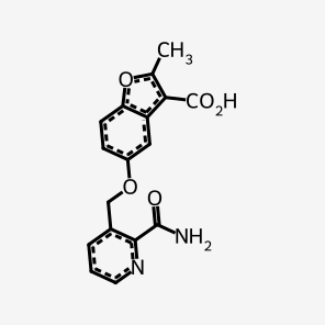 Cc1oc2ccc(OCc3cccnc3C(N)=O)cc2c1C(=O)O